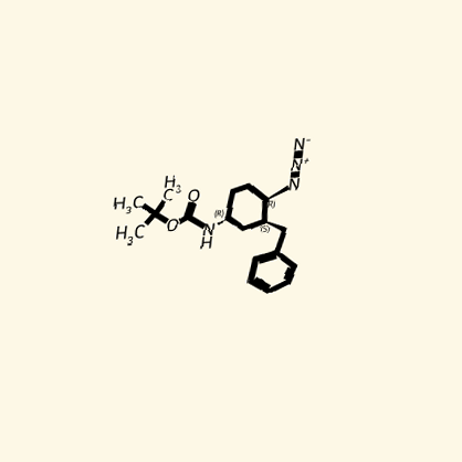 CC(C)(C)OC(=O)N[C@@H]1CC[C@@H](N=[N+]=[N-])[C@@H](Cc2ccccc2)C1